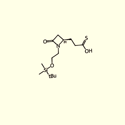 CC(C)(C)[Si](C)(C)OCCN1C(=O)C[C@H]1CCC(O)=S